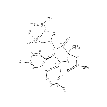 COC(=O)C[C@@]1(C)C[C@H](c2cccc(Cl)c2)[C@@H](c2ccc(Cl)cc2)N(C(CS(=O)(=NC(=O)C(F)(F)F)C(C)C)C(C)C)C1=O